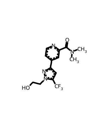 CN(C)C(=O)c1cc(-c2cc(C(F)(F)F)n(CCO)n2)ccn1